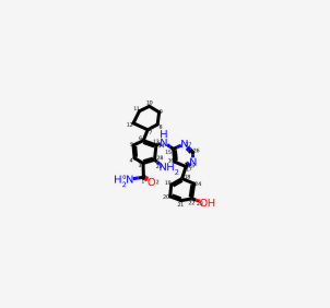 NC(=O)c1ccc(C2CCCCC2)c(Nc2cc(-c3cccc(O)c3)ncn2)c1N